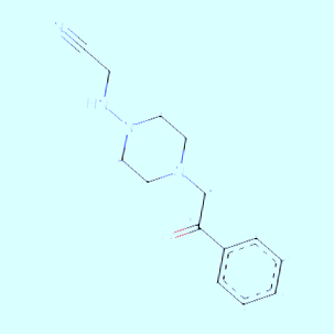 N#CCNN1CCN(CC(=O)c2ccccc2)CC1